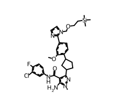 COc1cc(-c2nccn2COCC[Si](C)(C)C)ccc1C1CCC(c2nn(C)c(N)c2C(=O)Nc2ccc(F)c(Cl)c2)C1